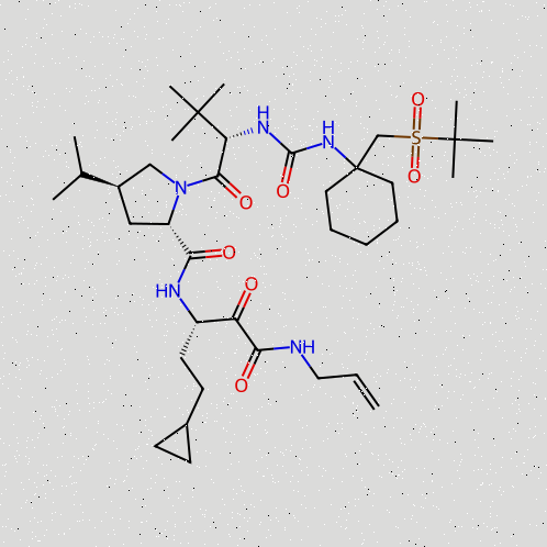 C=CCNC(=O)C(=O)[C@H](CCC1CC1)NC(=O)[C@@H]1C[C@@H](C(C)C)CN1C(=O)[C@@H](NC(=O)NC1(CS(=O)(=O)C(C)(C)C)CCCCC1)C(C)(C)C